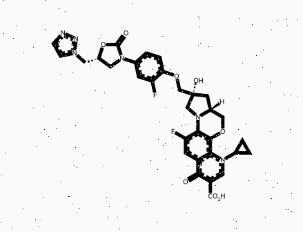 O=C(O)c1cn(C2CC2)c2c3c(c(F)cc2c1=O)N1C[C@@](O)(COc2ccc(N4C[C@H](Cn5ccnn5)OC4=O)cc2F)C[C@@H]1CO3